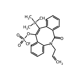 C=CCN1C(=O)c2ccccc2C([Si](C)(C)C)=C(OS(=O)(=O)C(F)(F)F)c2ccccc21